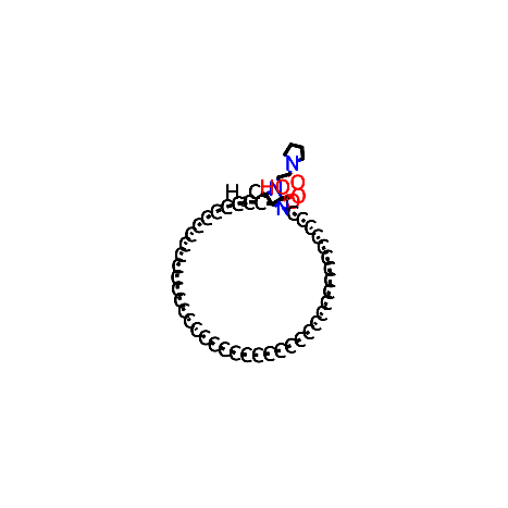 CC1N(CC(=O)N2CCCC2)C(=O)C12CCCCCCCCCCCCCCCCCCCCCCCCCCCCCCCCCCCCCCCCN2C(=O)O